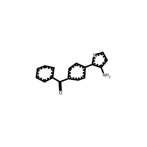 Nc1ccsc1-c1ccc(C(=O)c2ccccc2)cc1